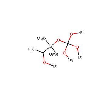 CCOC(C)[Si](OC)(OC)OC(OCC)(OCC)OCC